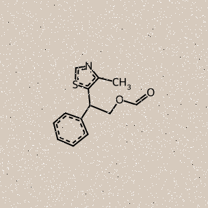 Cc1ncsc1C(COC=O)c1ccccc1